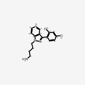 NCCCCn1nc(-c2ccc(Cl)cc2Cl)c2cnccc21